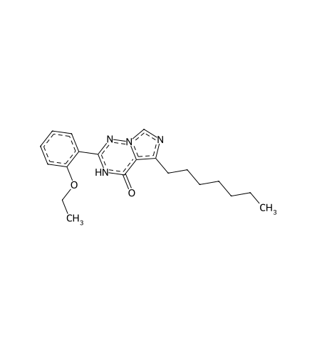 CCCCCCCc1ncn2nc(-c3ccccc3OCC)[nH]c(=O)c12